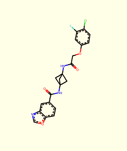 O=C(COc1ccc(Cl)c(F)c1)NC12CC(NC(=O)c3ccc4ocnc4c3)(C1)C2